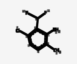 Bc1c(C)ccc(Cl)c1C(F)F